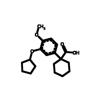 COc1ccc(C2(C(=O)O)CCCCC2)cc1OC1CCCC1